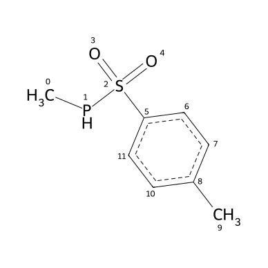 CPS(=O)(=O)c1ccc(C)cc1